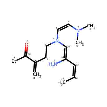 C=C(CCN(/C=C\N(C)C)/C=C(N)/C=C\C)C(=O)CC